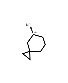 N#C[C@H]1CCCC2(CC2)C1